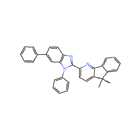 CC1(C)c2ccccc2-c2nc(-c3nc4ccc(-c5ccccc5)cc4n3-c3ccccc3)ccc21